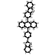 c1ccc2sc(-c3ccc(-c4c5ccccc5c(-c5ccc6c(c5)oc5ccccc56)c5ccccc45)cc3)nc2c1